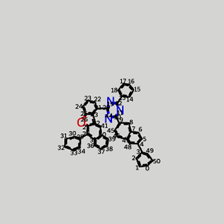 c1ccc(-c2ccc3cc(-c4nc(-c5ccccc5)nc(-c5cccc6oc7c(-c8ccccc8)c8ccccc8cc7c56)n4)ccc3c2)cc1